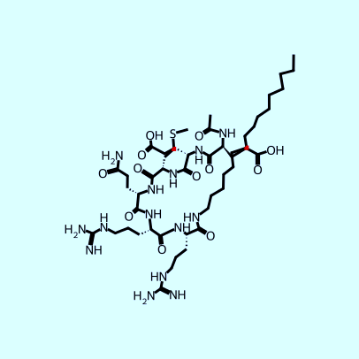 CCCCCCCCCCCCCCCCNC(=O)[C@H](CCCNC(=N)N)NC(=O)[C@H](CCCNC(=N)N)NC(=O)[C@H](CCC(N)=O)NC(=O)[C@H](CCSC)NC(=O)[C@H](CCC(=O)O)NC(=O)[C@H](CCC(=O)O)NC(C)=O